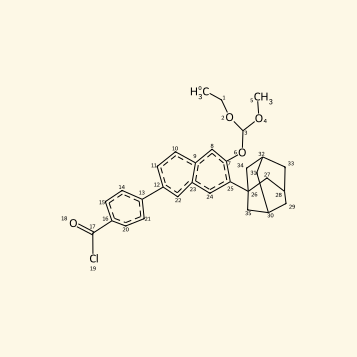 CCOC(OC)Oc1cc2ccc(-c3ccc(C(=O)Cl)cc3)cc2cc1C12CC3CC(CC(C3)C1)C2